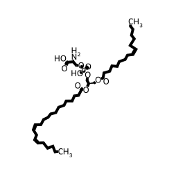 CCCCC/C=C\C/C=C\CCCCCCCCCCCC(=O)O[C@H](COC(=O)CCCCCCC/C=C\CCCCCC)COP(=O)(O)OC[C@H](N)C(=O)O